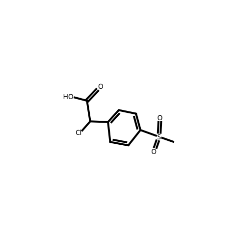 CS(=O)(=O)c1ccc(C(Cl)C(=O)O)cc1